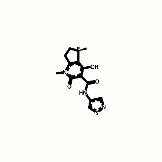 C[C@@H]1CCc2c1c(O)c(C(=O)Nc1cnsc1)c(=O)n2C